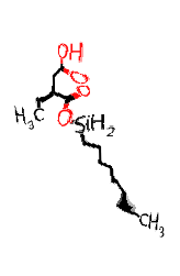 CC=C(CC(=O)O)C(=O)O[SiH2]CCCCCCCC